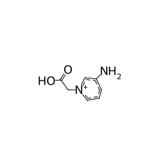 Nc1ccc[n+](CC(=O)O)c1